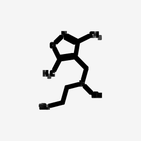 Cc1noc(C)c1CN(CCC(C)(C)C)C(C)(C)C